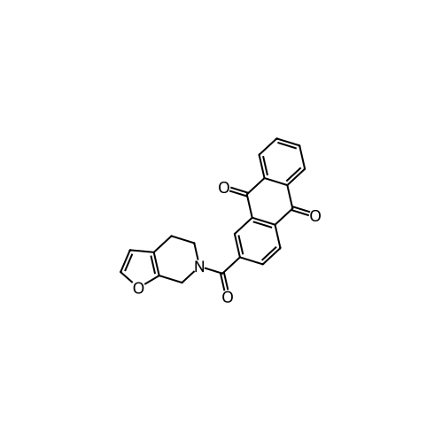 O=C1c2ccccc2C(=O)c2cc(C(=O)N3CCc4ccoc4C3)ccc21